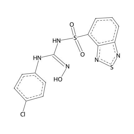 O=S(=O)(NC(=NO)Nc1ccc(Cl)cc1)c1cccc2nsnc12